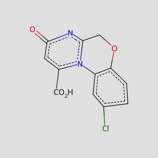 O=C(O)c1cc(=O)nc2n1-c1cc(Cl)ccc1OC2